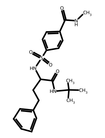 CNC(=O)c1ccc(S(=O)(=O)NC(CCc2ccccc2)C(=O)NC(C)(C)C)cc1